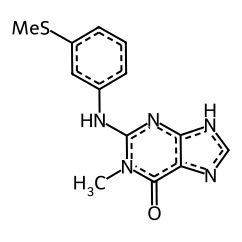 CSc1cccc(Nc2nc3[nH]cnc3c(=O)n2C)c1